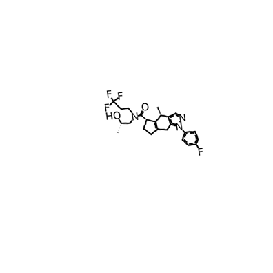 C[C@H](O)CN(CCC(F)(F)F)C(=O)[C@@H]1CCC2=C1[C@@H](C)c1cnn(-c3ccc(F)cc3)c1C2